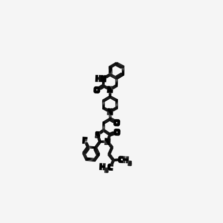 CC(C)CCN1C(=O)C(CC(=O)N2CCC(N3Cc4ccccc4NC3=O)CC2)SC1c1ccccc1F